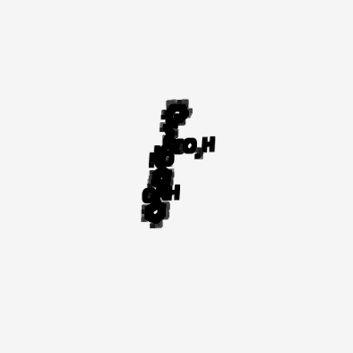 O=C(Nc1ccc(-c2nnc(N(CCCN3CCCCC3)C(=O)O)o2)cc1)C1CCCCC1